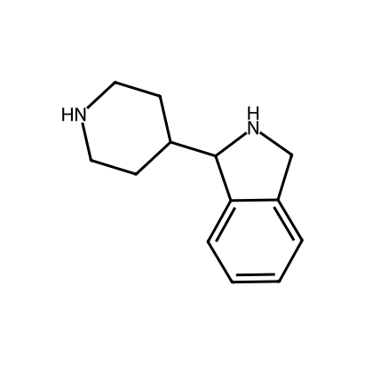 c1ccc2c(c1)CNC2C1CCNCC1